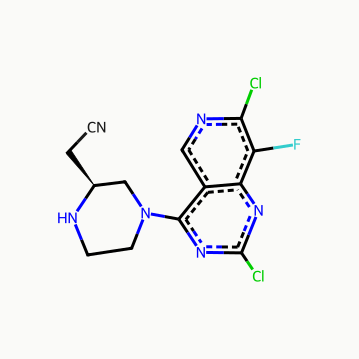 N#CC[C@H]1CN(c2nc(Cl)nc3c(F)c(Cl)ncc23)CCN1